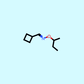 CCC(C)O/N=[C]/C1CCC1